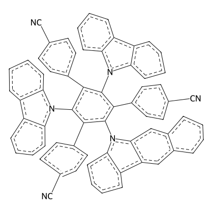 N#Cc1ccc(-c2c(-n3c4ccccc4c4ccccc43)c(-c3ccc(C#N)cc3)c(-n3c4ccccc4c4cc5ccccc5cc43)c(-c3ccc(C#N)cc3)c2-n2c3ccccc3c3ccccc32)cc1